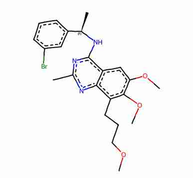 COCCCc1c(OC)c(OC)cc2c(N[C@H](C)c3cccc(Br)c3)nc(C)nc12